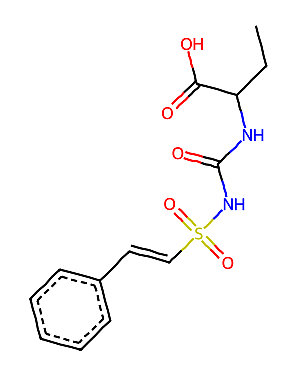 CCC(NC(=O)NS(=O)(=O)C=Cc1ccccc1)C(=O)O